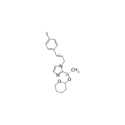 C[C@H](OC1CCCCO1)c1nccn1C/C=C/c1ccc(I)cc1